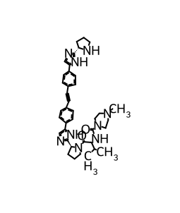 CC(C)[C@H](NC(=O)N1CCN(C)CC1)C(=O)N1CCC[C@H]1c1ncc(-c2ccc(C#Cc3ccc(-c4cnc([C@@H]5CCCN5)[nH]4)cc3)cc2)[nH]1